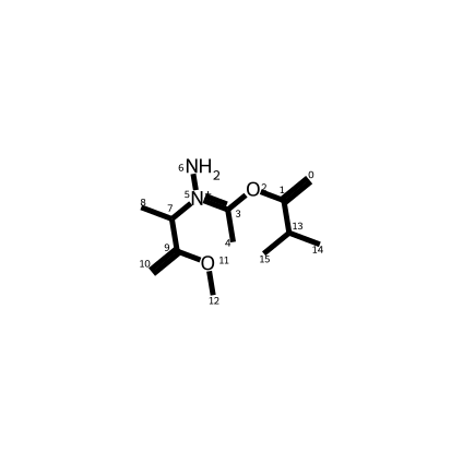 C=C(O/C(C)=[N+](\N)C(C)C(=C)OC)C(C)C